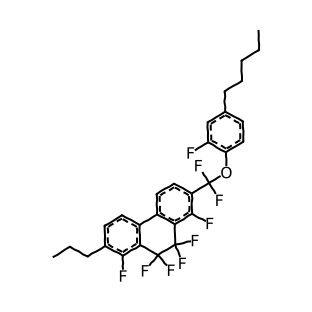 CCCCCc1ccc(OC(F)(F)c2ccc3c(c2F)C(F)(F)C(F)(F)c2c-3ccc(CCC)c2F)c(F)c1